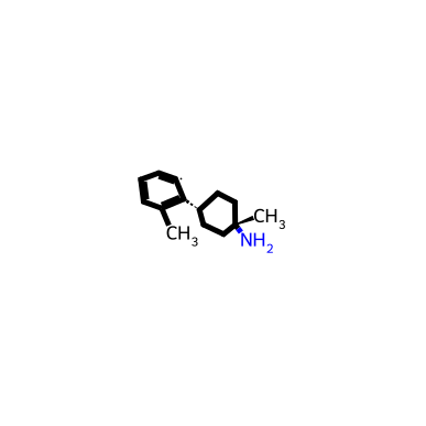 Cc1ccc[c]c1[C@H]1CC[C@@](C)(N)CC1